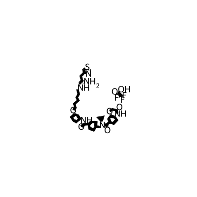 N[C@H](CNCCCCCCOc1cccc(NC(=O)c2ccc(CN(C(=O)c3ccc4c(c3)OCC(=O)N4)C3CC3)cc2)c1)Cc1cscn1.O=C(O)C(F)(F)F